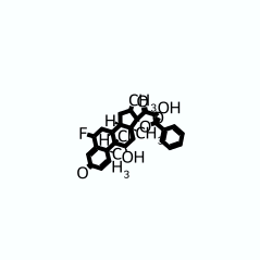 CC1C[C@H]2[C@@H]3CC(F)C4=CC(=O)C=C[C@]4(C)[C@@]3(Cl)[C@@H](O)C[C@]2(C)[C@]1(OC(=O)c1ccccc1)C(=O)CO